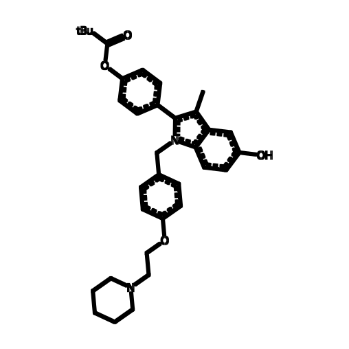 Cc1c(-c2ccc(OC(=O)C(C)(C)C)cc2)n(Cc2ccc(OCCN3CCCCC3)cc2)c2ccc(O)cc12